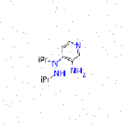 CC(C)NN(c1ccncc1N)C(C)C